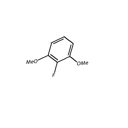 COc1[c]ccc(OC)c1F